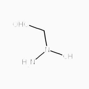 CN(N)CC=O